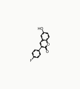 O=c1oc2ccc(O)cc2cc1-c1ccc(F)cc1